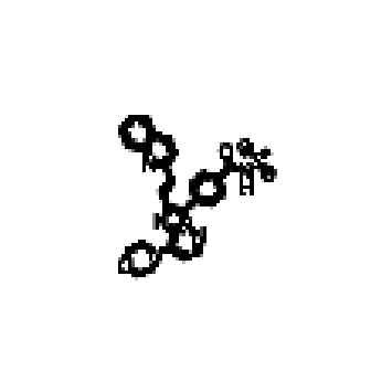 CS(=O)(=O)NC(=O)c1ccc(-c2c(C=Cc3ccc4ccccc4n3)nc3c(N4CCOCC4)ccnn23)cc1